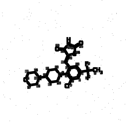 CC(F)(F)c1cc(Cl)c(N2CCC(N3CCOCC3)CC2)c(/C=C2\SC(=O)NC2=O)c1